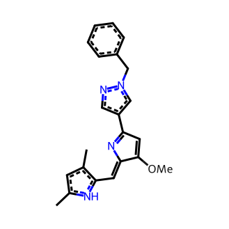 COC1=CC(c2cnn(Cc3ccccc3)c2)=NC1=Cc1[nH]c(C)cc1C